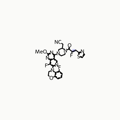 COc1nc(N2CCN(C(=O)/C(F)=C/c3nccs3)C(CC#N)C2)c2cnc(N3CCOc4cccc(F)c43)c(F)c2n1